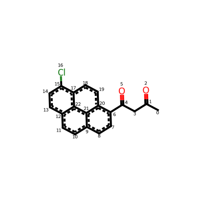 CC(=O)CC(=O)c1ccc2ccc3ccc(Cl)c4ccc1c2c34